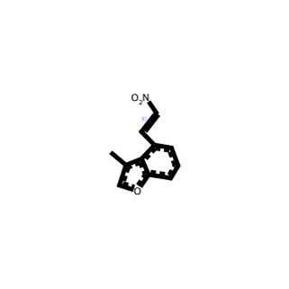 Cc1coc2cccc(/C=C/[N+](=O)[O-])c12